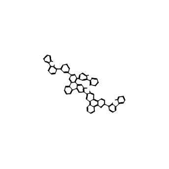 c1cc(-c2ccc3c(c2)c2ccccc2c2cc4c5cc6c7ccccc7c7cc(-c8cccc9c8sc8ccccc89)ccc7c6cc5n(-c5cccc6sc7ccccc7c56)c4cc32)cc(-c2cccc3c2sc2ccccc23)c1